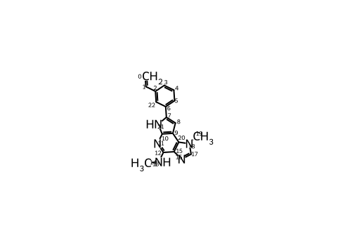 C=Cc1cccc(-c2cc3c(nc(NC)c4ncn(C)c43)[nH]2)c1